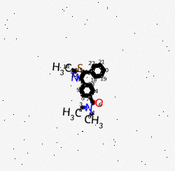 CCN(CC)C(=O)c1ccc(-c2nc(C)sc2-c2ccccc2)cc1